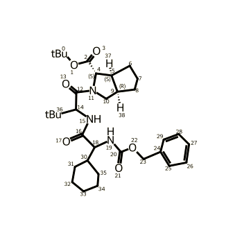 CC(C)(C)OC(=O)[C@@H]1[C@H]2CCC[C@H]2CN1C(=O)C(NC(=O)C(NC(=O)OCc1ccccc1)C1CCCCC1)C(C)(C)C